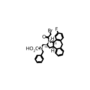 O=C(O)N(Cc1ccccc1)C[C@@H]1C[C@@H]2c3ccccc3Cc3ccc(F)cc3[C@H]2N1C(=O)CBr